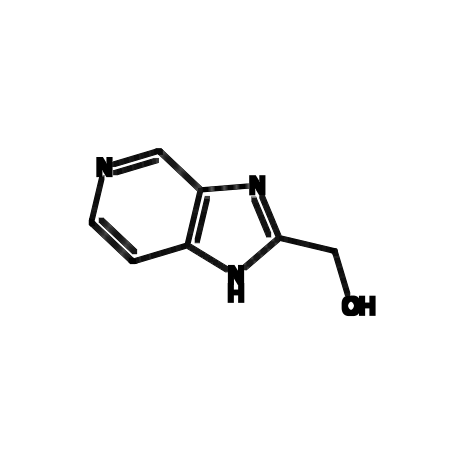 OCc1nc2cnccc2[nH]1